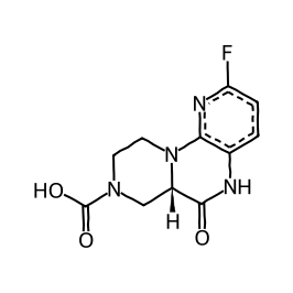 O=C1Nc2ccc(F)nc2N2CCN(C(=O)O)C[C@@H]12